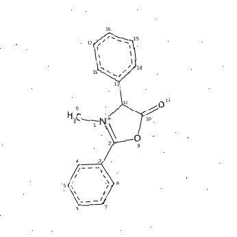 C[N+]1=C(c2ccccc2)OC(=O)C1c1ccccc1